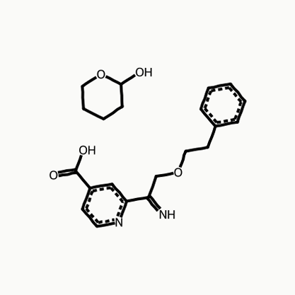 N=C(COCCc1ccccc1)c1cc(C(=O)O)ccn1.OC1CCCCO1